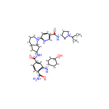 CC(C)N1CC[C@@H](NC(=O)c2ccc(N3CCCC4CC(NC(=O)c5ccc(C(N)=O)c(N[C@H]6CC[C@H](O)CC6)c5)CC43)nc2)C1